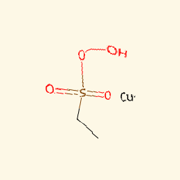 CCS(=O)(=O)OO.[Cu]